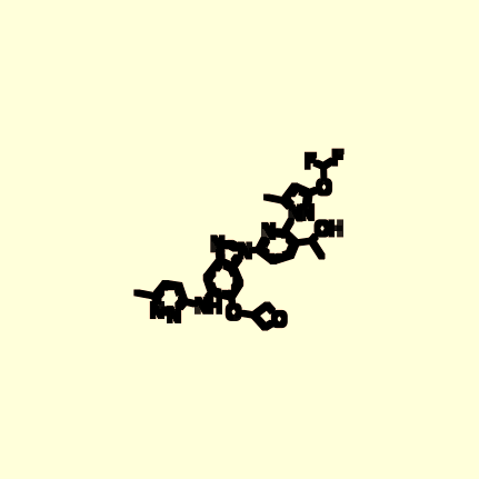 Cc1ccc(Nc2cc3ncn(-c4ccc(C(C)O)c(-n5nc(OC(F)F)cc5C)n4)c3cc2OC2COC2)nn1